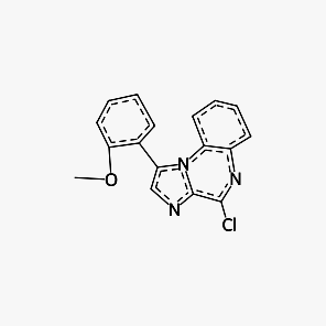 COc1ccccc1-c1cnc2c(Cl)nc3ccccc3n12